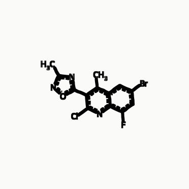 Cc1noc(-c2c(Cl)nc3c(F)cc(Br)cc3c2C)n1